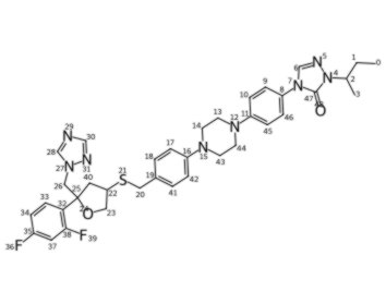 CCC(C)n1ncn(-c2ccc(N3CCN(c4ccc(CSC5COC(Cn6cncn6)(c6ccc(F)cc6F)C5)cc4)CC3)cc2)c1=O